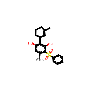 CCCCCc1cc(O)c(C2C=C(C)CCC2)c(O)c1S(=O)(=O)c1ccccc1